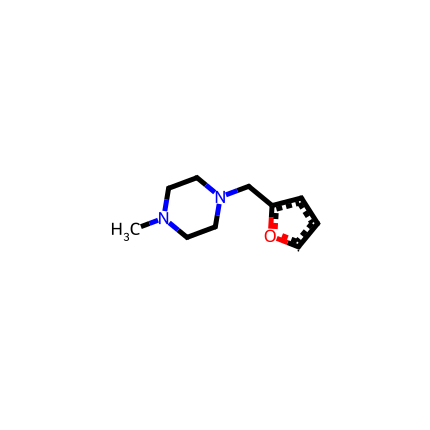 CN1CCN(Cc2cc[c]o2)CC1